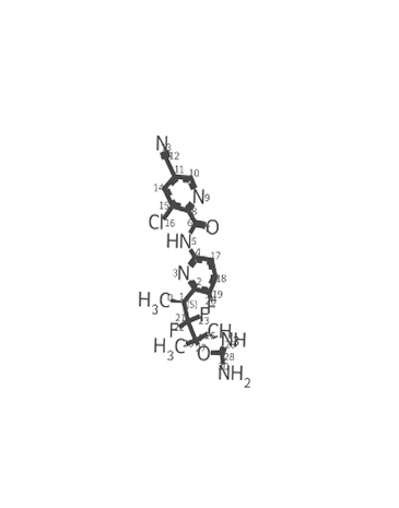 C[C@@H](c1nc(NC(=O)c2ncc(C#N)cc2Cl)ccc1F)C(F)(F)C(C)(C)OC(=N)N